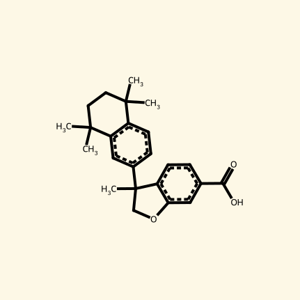 CC1(C)CCC(C)(C)c2cc(C3(C)COc4cc(C(=O)O)ccc43)ccc21